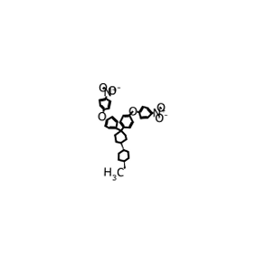 CC[C@H]1CC[C@@H](C2CCC(c3ccc(Oc4ccc([N+](=O)[O-])cc4)cc3)(c3ccc(Oc4ccc([N+](=O)[O-])cc4)cc3)CC2)CC1